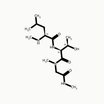 CNC(=O)CN(C)C(=O)[C@@H](NC(=O)[C@H](CC(C)C)NC)[C@@H](C)O